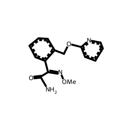 CON=C(C(N)=O)c1ccccc1COc1ccccn1